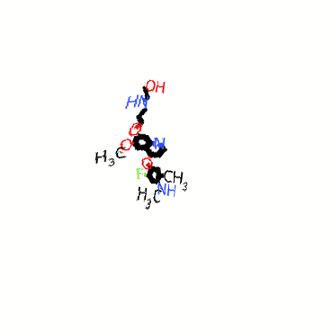 CNc1cc(F)c(Oc2ccnc3cc(OCCCNCCO)c(OC)cc23)cc1C